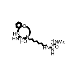 CNC(=O)NC(=N)NCCCCCCCCN1CCCCOc2ccccc2CNC(=N)NC1=O